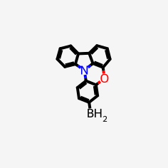 Bc1ccc2c(c1)Oc1cccc3c4ccccc4n-2c13